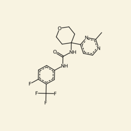 Cc1nccc(C2(NC(=O)Nc3ccc(F)c(C(F)(F)F)c3)CCOCC2)n1